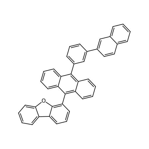 c1cc(-c2ccc3ccccc3c2)cc(-c2c3ccccc3c(-c3cccc4c3oc3ccccc34)c3ccccc23)c1